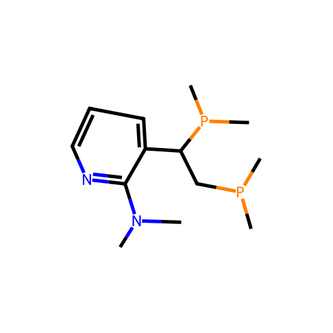 CN(C)c1ncccc1C(CP(C)C)P(C)C